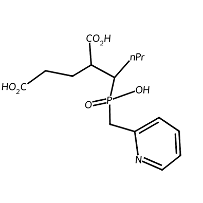 CCCC(C(CCC(=O)O)C(=O)O)P(=O)(O)Cc1ccccn1